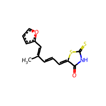 CC(C=CC=C1SC(=S)NC1=O)=Cc1ccco1